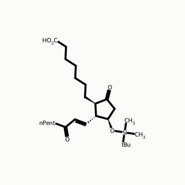 CCCCCC(=O)C=C[C@H]1[C@H](O[Si](C)(C)C(C)(C)C)CC(=O)[C@@H]1CCCCCCC(=O)O